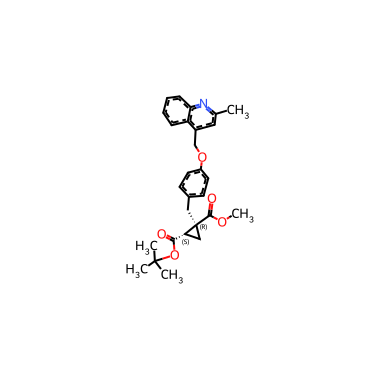 COC(=O)[C@@]1(Cc2ccc(OCc3cc(C)nc4ccccc34)cc2)C[C@@H]1C(=O)OC(C)(C)C